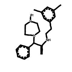 C=C(NCCc1cc(C)cc(C)c1)C(c1ccccc1)N1CCN(C(C)C)CC1